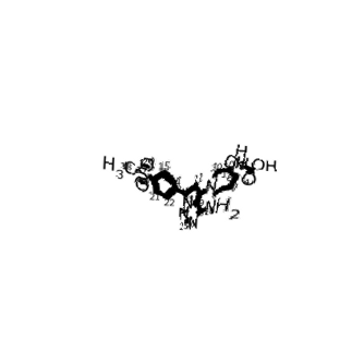 CC1(NC(=O)O)CCCN(c2cc(-c3ccc(S(C)(=O)=O)cc3)n3ncnc(N)c23)C1